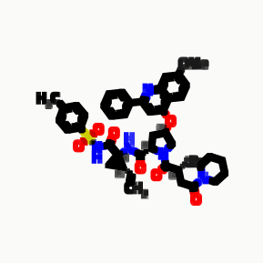 C=C[C@@H]1C[C@]1(NC(=O)[C@@H]1C[C@@H](Oc2cc(-c3ccccc3)nc3cc(OC)ccc23)CN1C(=O)[C@@H](CC(=O)N1CCCCC1)C(C)(C)C)C(=O)NS(=O)(=O)c1ccc(C)cc1